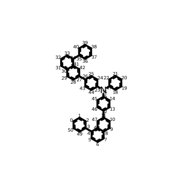 c1ccc(-c2cccc3ccc(-c4ccc(N(c5ccccc5)c5ccc(-c6ccc7cccc(-c8ccccc8)c7c6)cc5)cc4)cc23)cc1